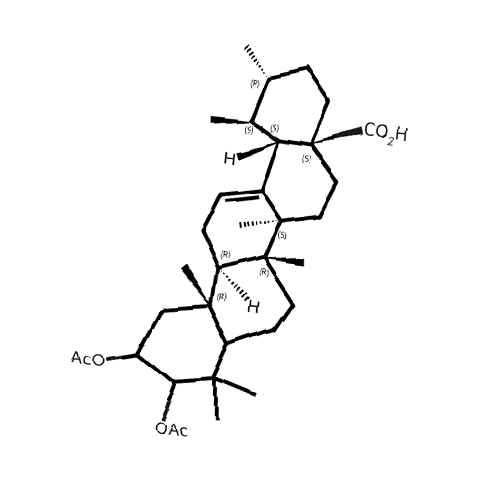 CC(=O)OC1C[C@@]2(C)C(CC[C@]3(C)[C@@H]2CC=C2[C@@H]4[C@@H](C)[C@H](C)CC[C@]4(C(=O)O)CC[C@]23C)C(C)(C)C1OC(C)=O